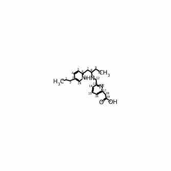 CCCc1ccc(CC(CC)NCc2cccc(CC(=O)O)n2)nc1